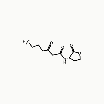 CCCCC(=O)CC(=O)N[C@H]1CCOC1=O